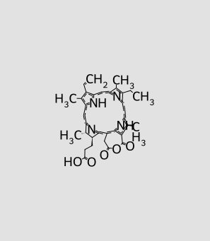 C=Cc1c(C)c2cc3nc(c4c5[nH]c(cc6nc(cc1[nH]2)C(C)=C6CC)c(C)c5C(=O)OC(=O)C4)[C@@H](CCC(=O)O)[C@@H]3C